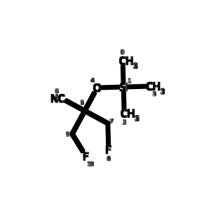 C[Si](C)(C)OC(C#N)(CF)CF